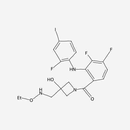 CCONCC1(O)CN(C(=O)c2ccc(F)c(F)c2Nc2ccc(I)cc2F)C1